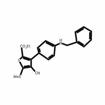 CCOC(=O)c1sc(SC)c(C#N)c1-c1ccc(NCc2ccccc2)cc1